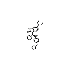 CCC(CC)c1ccc2c(c1)NC(=O)C2=C(Nc1ccc(CN2CCCC2)cc1)c1ccccc1